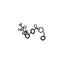 O=C(Nc1nc2cccc(-c3ccc(C(=O)N4CCCC(Cc5ccccc5)CC4)cc3)n2n1)C1CC1